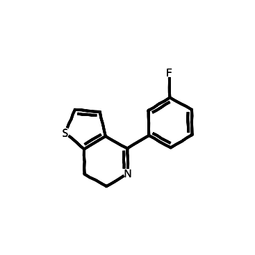 Fc1cccc(C2=NCCc3sccc32)c1